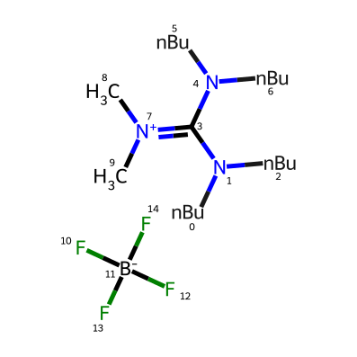 CCCCN(CCCC)C(N(CCCC)CCCC)=[N+](C)C.F[B-](F)(F)F